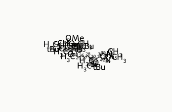 COC(=O)C[C@H](O[Si](C)(C)C(C)(C)C)C(C)(C)C(=O)[C@H](C)[C@@H](O[Si](C)(C)C(C)(C)C)[C@@H](C)CCC/C=C/C[C@H](O[Si](C)(C)C(C)(C)C)c1ccc2c(c1)nc(C)n2C